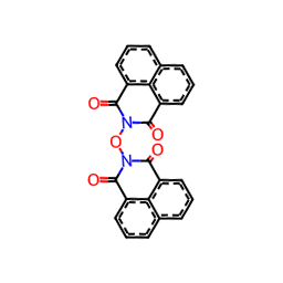 O=C1c2cccc3cccc(c23)C(=O)N1ON1C(=O)c2cccc3cccc(c23)C1=O